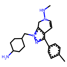 CNN1C=Cc2c(-c3ccc(C)cc3)nn(CC3CCC(N)CC3)c2C1